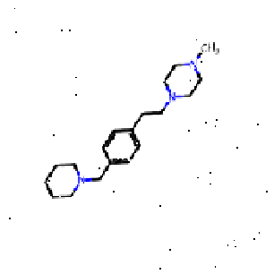 CN1CCN(CCc2ccc(CN3CCCCC3)cc2)CC1